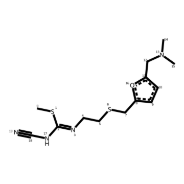 CSC(=NCCSCc1ccc(CN(C)C)o1)NC#N